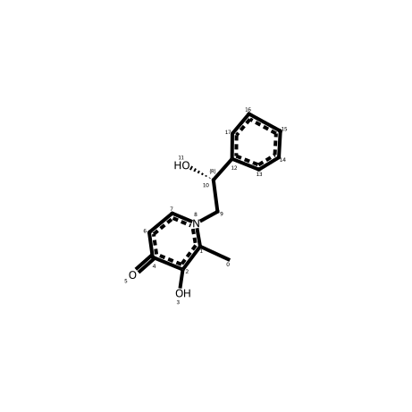 Cc1c(O)c(=O)ccn1C[C@H](O)c1ccccc1